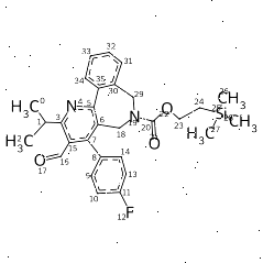 CC(C)c1nc2c(c(-c3ccc(F)cc3)c1C=O)CN(C(=O)OCC[Si](C)(C)C)Cc1ccccc1-2